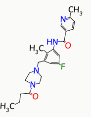 CCCC(=O)N1CCN(Cc2cc(F)cc(NC(=O)c3ccc(C)nc3)c2C)CC1